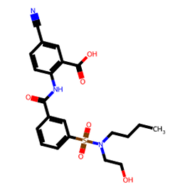 CCCCN(CCO)S(=O)(=O)c1cccc(C(=O)Nc2ccc(C#N)cc2C(=O)O)c1